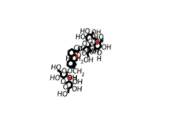 C=C1CC23CCC4[C@](C)(C(=O)OC5OC(CO)C(O)C(OC6OC(CO)C(O)C(O)C6O)C5OC5OC(CO)C(O)C(O)C5O)CCC[C@@]4(C)[C@@H]2CCC1(OC1OC(CO)C(O)C(OC2OC(CO)C(O)C(O)C2O)C1O)C3